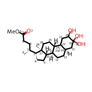 COC(=O)CC[C@@H](C)[C@H]1CC[C@H]2[C@@H]3CC[C@@H]4CC(O)(O)C(O)C[C@]4(C)[C@H]3CC[C@]12C